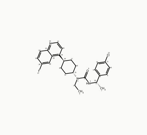 CCN(C(=O)N[C@@H](C)c1ccc(Cl)cc1)[C@H]1CC[C@H](c2ccnc3ccc(F)cc32)CC1